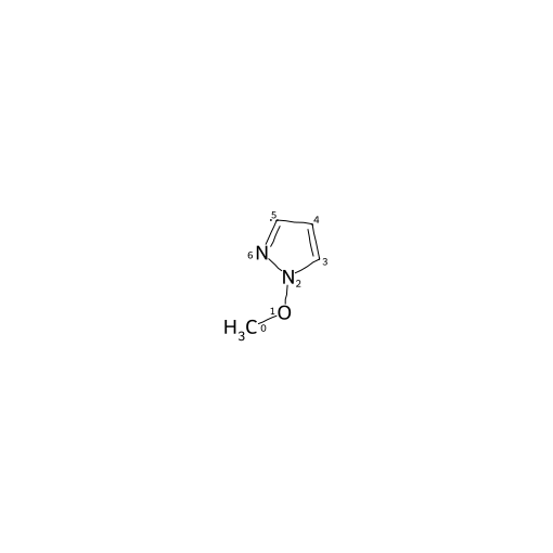 COn1cc[c]n1